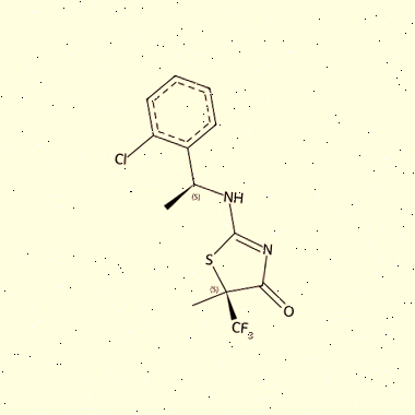 C[C@H](NC1=NC(=O)[C@@](C)(C(F)(F)F)S1)c1ccccc1Cl